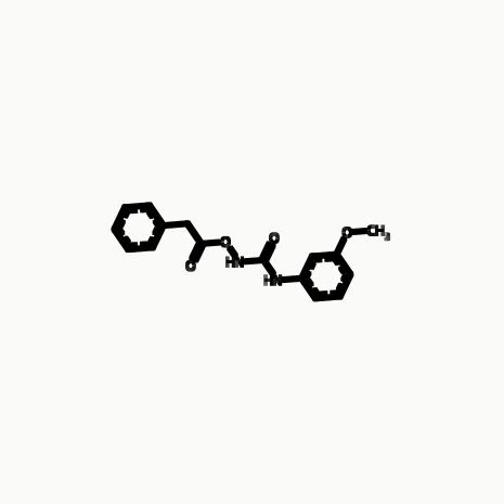 COc1cccc(NC(=O)NOC(=O)Cc2ccccc2)c1